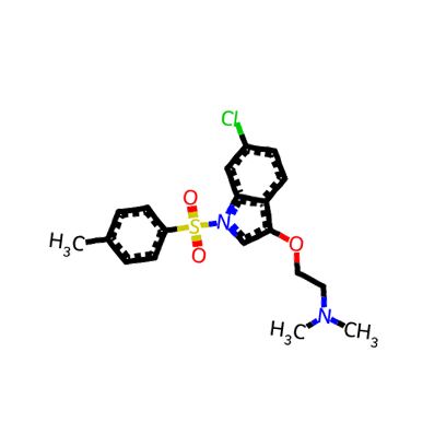 Cc1ccc(S(=O)(=O)n2cc(OCCN(C)C)c3ccc(Cl)cc32)cc1